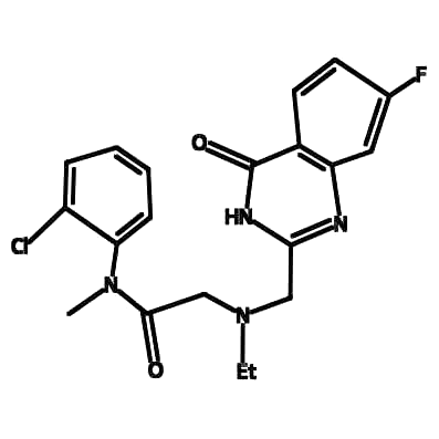 CCN(CC(=O)N(C)c1ccccc1Cl)Cc1nc2cc(F)ccc2c(=O)[nH]1